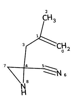 C=C(C)CC1(C#N)CN1